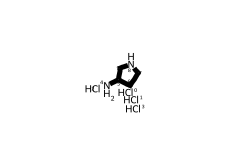 Cl.Cl.Cl.Cl.NC1CCNC1